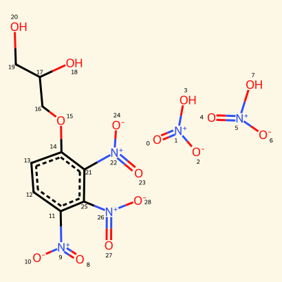 O=[N+]([O-])O.O=[N+]([O-])O.O=[N+]([O-])c1ccc(OCC(O)CO)c([N+](=O)[O-])c1[N+](=O)[O-]